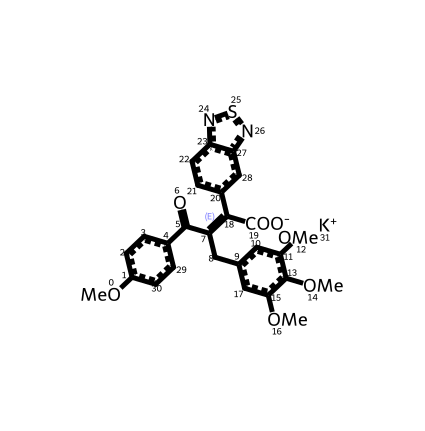 COc1ccc(C(=O)/C(Cc2cc(OC)c(OC)c(OC)c2)=C(/C(=O)[O-])c2ccc3nsnc3c2)cc1.[K+]